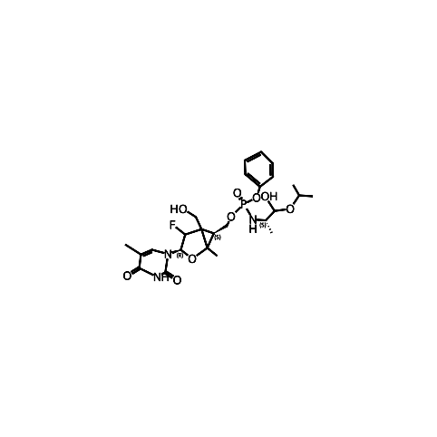 Cc1cn([C@@H]2OC3(C)[C@H](COP(=O)(N[C@@H](C)C(O)OC(C)C)Oc4ccccc4)C3(CO)C2F)c(=O)[nH]c1=O